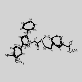 COC(=O)c1ccc2c(c1)CCN(C(=O)Cn1nc(-c3ccc(F)c(C)c3)cc1-c1ccccc1)CC2